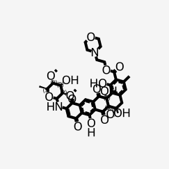 CO[C@@H]1[C@@H](O)[C@@H](OC)C(NC2=CC(=O)c3c(cc4c(c3O)C(=O)[C@]3(OC)[C@H](O)Cc5cc(C)c(C(=O)OCCN6CCOCC6)c(O)c5[C@]3(O)C4=O)C2=O)O[C@H]1C